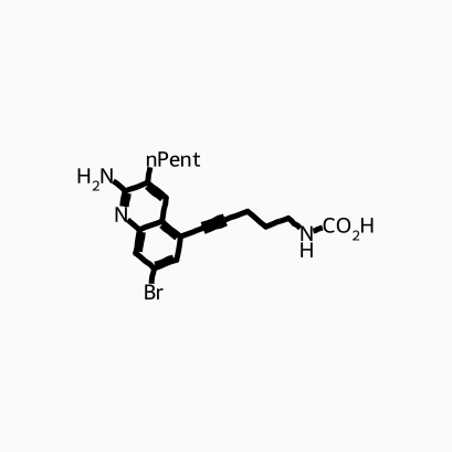 CCCCCc1cc2c(C#CCCCNC(=O)O)cc(Br)cc2nc1N